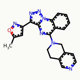 Cc1cc(-c2nnn3c2nc(N2CCc4cnccc4C2)c2ccccc23)no1